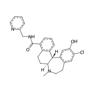 CN1CCc2cc(Cl)c(O)cc2[C@H]2c3cccc(C(=O)NCc4ccccn4)c3CC[C@@H]21